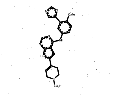 COc1ccc(Nc2ncnc3[nH]c(C4=CCN(C(=O)O)CC4)cc23)cc1-c1cncs1